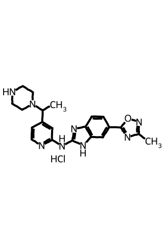 Cc1noc(-c2ccc3nc(Nc4cc(C(C)N5CCNCC5)ccn4)[nH]c3c2)n1.Cl